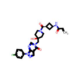 C=CC(=O)N[C@H]1C[C@@H](C(=O)N2CCC(O)(Cn3cnc4c(cnn4-c4ccc(F)cc4)c3=O)CC2)C1